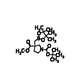 COC(=O)C1(CB2OC(C)(C)C(C)(C)O2)CCN(C(=O)OC(C)(C)C)C1